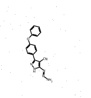 N#Cc1c(-c2ccc(Oc3ccccc3)cc2)n[nH]c1N=NN